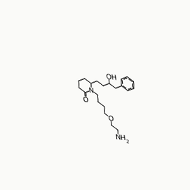 NCCOCCCCN1C(=O)CCCC1CCC(O)Cc1ccccc1